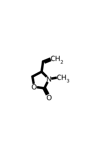 C=CC1COC(=O)N1C